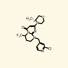 C[C@@H]1COCCN1c1cc(=O)n2c(n1)N(Cc1ccnc(Cl)c1)CCC2C(F)(F)F